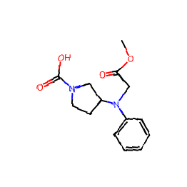 COC(=O)CN(c1ccccc1)C1CCN(C(=O)O)C1